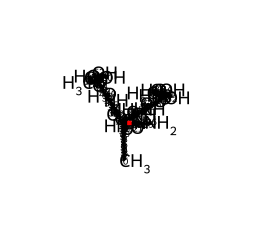 CCCCCCCCCCCCC(=O)NC(COCCC(=O)NCCCN)(COCCC(=O)NCCCNCC(=O)CCCCO[C@@H]1OC(CO)[C@@H](O)C(O)C1NC(C)=O)COCCC(=O)NCCCNC(=O)CCCCO[C@@H]1OC(CO)[C@@H](O)C(O)C1NC(C)=O